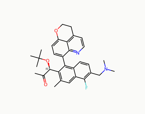 CC(=O)[C@@H](OC(C)(C)C)c1c(C)cc2c(F)c(CN(C)C)ccc2c1-c1ccc2c3c(ccnc13)CCO2